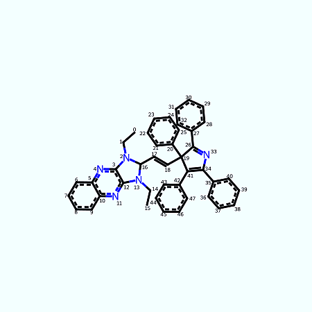 CCN1c2nc3ccccc3nc2N(CC)C1C=CC1(c2ccccc2)C(c2ccccc2)=NC(c2ccccc2)=C1c1ccccc1